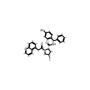 CC(C)c1ccc([C@@H](NC(=O)[C@@H]2C[C@@H](F)CN2C(=O)Cc2cccc3ncccc23)c2ccccc2)cc1